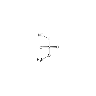 N#COS(=O)(=O)ON